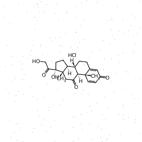 C[C@]12C=CC(=O)C=C1CC[C@@H]1[C@@H]2C(=O)C[C@@]2(C)[C@H]1CC[C@]2(O)C(=O)CO.Cl